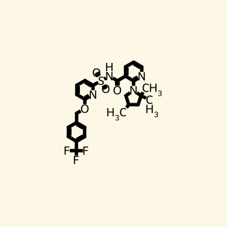 CC1CN(c2ncccc2C(=O)NS(=O)(=O)c2cccc(OCc3ccc(C(F)(F)F)cc3)n2)C(C)(C)C1